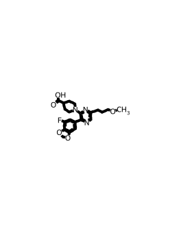 COCCCc1cnc(-c2cc(F)c3c(c2)OCO3)c(N2CCC(C(=O)O)CC2)n1